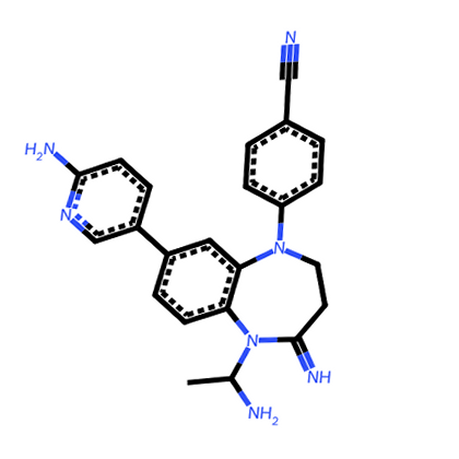 CC(N)N1C(=N)CCN(c2ccc(C#N)cc2)c2cc(-c3ccc(N)nc3)ccc21